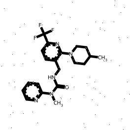 CC1CCN(c2nc(C(F)(F)F)ccc2CNC(=O)N(C)c2ccccn2)CC1